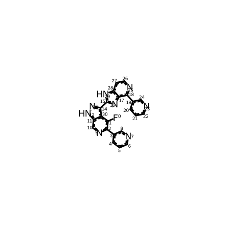 Fc1c(-c2cccnc2)ncc2[nH]nc(-c3nc4c(-c5cccnc5)nccc4[nH]3)c12